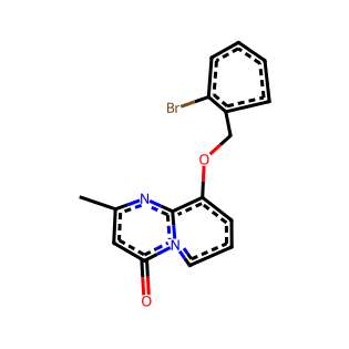 Cc1cc(=O)n2cccc(OCc3ccccc3Br)c2n1